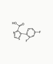 O=C(O)c1ncsc1-c1ccc(F)cc1F